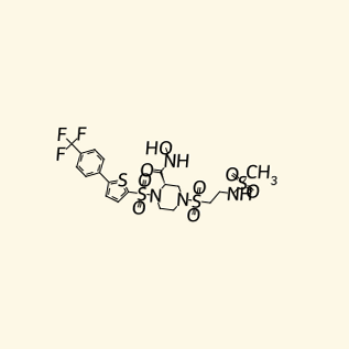 CS(=O)(=O)NCCS(=O)(=O)N1CCN(S(=O)(=O)c2ccc(-c3ccc(C(F)(F)F)cc3)s2)[C@@H](C(=O)NO)C1